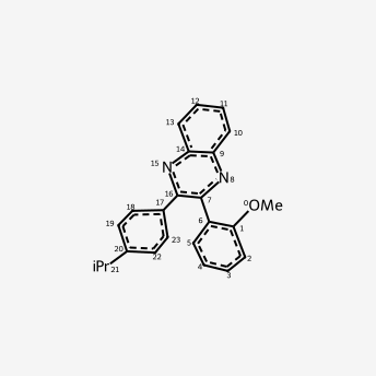 COc1ccccc1-c1nc2ccccc2nc1-c1ccc(C(C)C)cc1